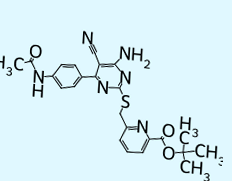 CC(=O)Nc1ccc(-c2nc(SCc3cccc(C(=O)OC(C)(C)C)n3)nc(N)c2C#N)cc1